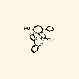 O=C(O)C[C@@H]1C(=O)N(c2nc(-c3ccccc3Cl)cs2)[C@H](CO)C=CC[C@H]1C1CCCC1